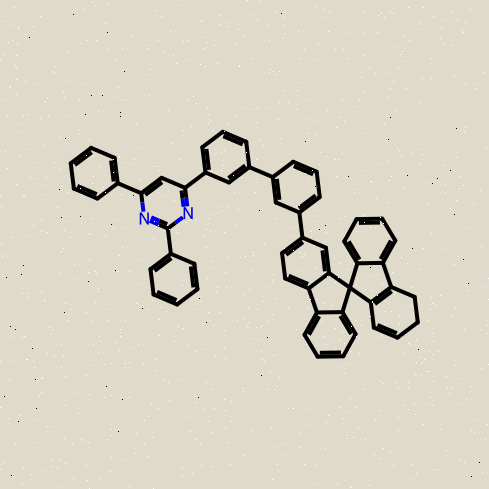 C1=CC2=C(CC1)c1ccccc1C21c2ccccc2-c2ccc(-c3cccc(-c4cccc(-c5cc(-c6ccccc6)nc(-c6ccccc6)n5)c4)c3)cc21